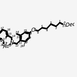 CCCCCCCCCCCCCCCCOc1ccc(CN(Cc2cccc[n+]2CC)C(C)=O)c(C)c1.[I-]